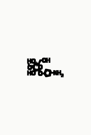 CO[C@H]1[C@@H](O)[C@@H](CO)O[C@@H](Oc2ccc(N)cc2)[C@@H]1O